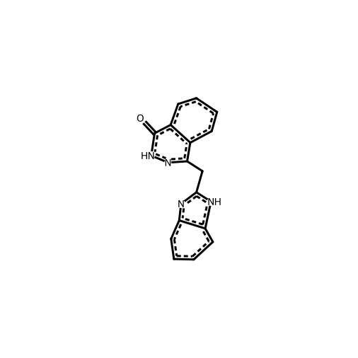 O=c1[nH]nc(Cc2nc3ccccc3[nH]2)c2ccccc12